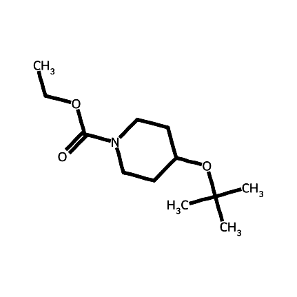 CCOC(=O)N1CCC(OC(C)(C)C)CC1